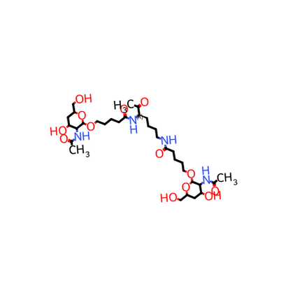 CC(=O)NC1C(O)CC(CO)OC1OCCCCC(=O)NCCCC[C@@H](NC(=O)CCCCOC1OC(CO)CC(O)C1NC(C)=O)C(C)=O